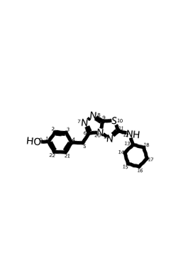 Oc1ccc(Cc2nnc3sc(NC4CCCCC4)nn23)cc1